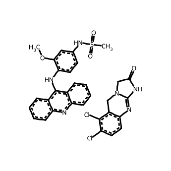 COc1cc(NS(C)(=O)=O)ccc1Nc1c2ccccc2nc2ccccc12.O=C1CN2Cc3c(ccc(Cl)c3Cl)N=C2N1